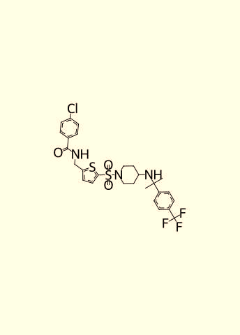 CC(C)(NC1CCN(S(=O)(=O)c2ccc(CNC(=O)c3ccc(Cl)cc3)s2)CC1)c1ccc(C(F)(F)F)cc1